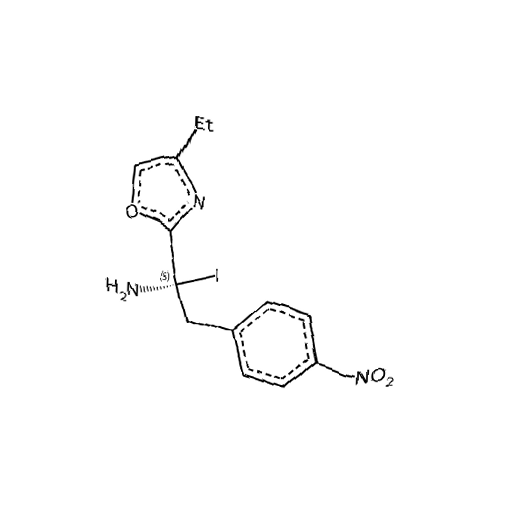 CCc1coc([C@@](N)(I)Cc2ccc([N+](=O)[O-])cc2)n1